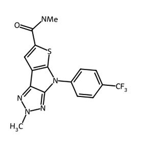 CNC(=O)c1cc2c3nn(C)nc3n(-c3ccc(C(F)(F)F)cc3)c2s1